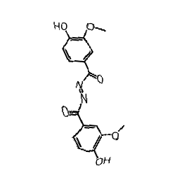 COc1cc(C(=O)N=NC(=O)c2ccc(O)c(OC)c2)ccc1O